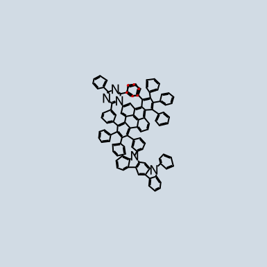 c1ccc(-c2nc(-c3ccccc3)nc(-c3cccc(-c4c(-c5ccccc5)c(-c5ccccc5)c(-c5cccc(-n6c7ccccc7c7cc8c9ccccc9n(-c9ccccc9)c8cc76)c5)c5c6cccc7c8c(-c9ccccc9)c(-c9ccccc9)c(-c9ccccc9)c(-c9ccccc9)c8c8cccc(c45)c8c76)c3)n2)cc1